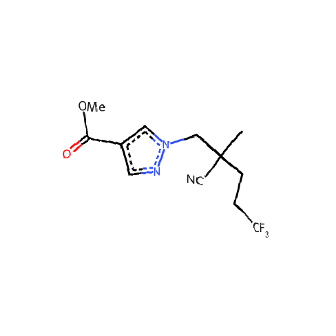 COC(=O)c1cnn(CC(C)(C#N)CCC(F)(F)F)c1